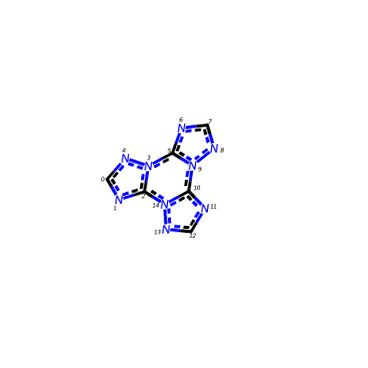 c1nc2n(n1)c1ncnn1c1ncnn21